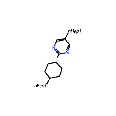 CCCCCCCc1cnc([C@H]2CC[C@H](CCCCC)CC2)nc1